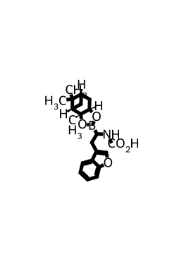 CC1(C)[C@@H]2C[C@H]3OB(C(Cc4coc5ccccc45)NC(=O)O)O[C@@]3(C)[C@H]1C2